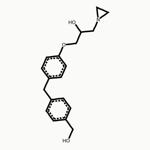 OCc1ccc(Cc2ccc(OCC(O)CN3CC3)cc2)cc1